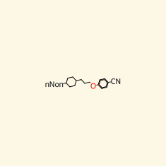 CCCCCCCCCC1CCC(CCCOc2ccc(C#N)cc2)CC1